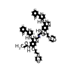 C=CC(=O)Nc1cc2c(Nc3ccnc(-c4ccccc4F)c3)nc(/C=C/C(=O)Nc3cc4c(Nc5ccnc(-c6ccccc6F)c5)ncnc4cc3OCCN3CCOCC3)nc2cc1OCCCN1CCOCC1